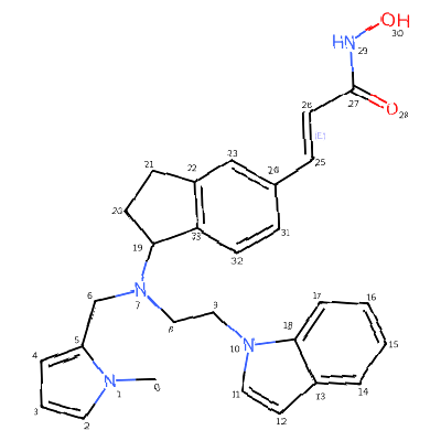 Cn1cccc1CN(CCn1ccc2ccccc21)C1CCc2cc(/C=C/C(=O)NO)ccc21